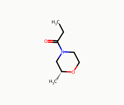 CCC(=O)N1CCO[C@H](C)C1